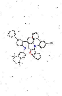 Cc1cc2c3c(c1)N(c1ccc(C(C)(C)C)cc1-c1ccccc1)c1c(oc4ccccc14)B3N(c1ccc3c(c1)C(C)(C)CCC3(C)C)c1ccc(-c3ccccc3)cc1-2